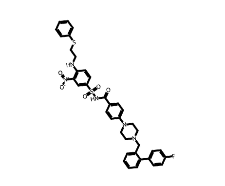 O=C(NS(=O)(=O)c1ccc(NCCSc2ccccc2)c([N+](=O)[O-])c1)c1ccc(N2CCN(Cc3ccccc3-c3ccc(F)cc3)CC2)cc1